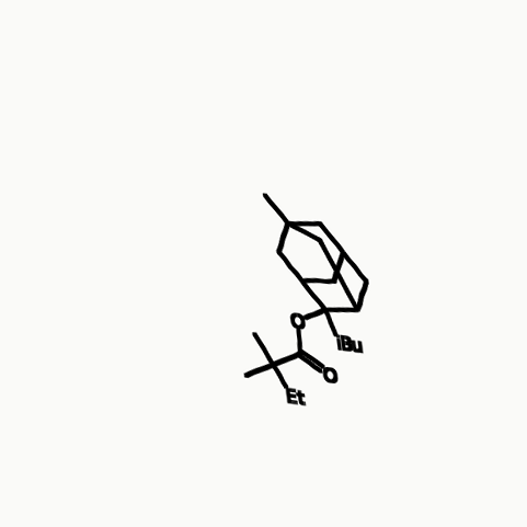 CCC(C)C1(OC(=O)C(C)(C)CC)C2CC3CC1CC(C)(C3)C2